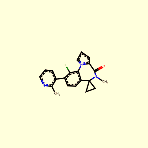 Cc1ncccc1-c1ccc2c(c1F)-n1cccc1C(=O)N(C)C21CC1